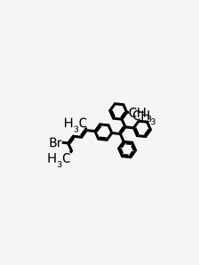 CC/C(Br)=C\C=C(/C)C1=CCC(/C(=C(/C2=CC=CCC2C)C2=C(C)CCC=C2)c2ccccc2)C=C1